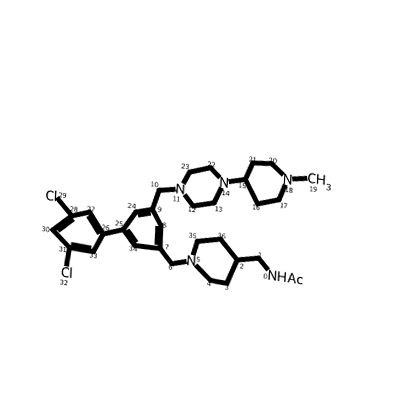 CC(=O)NCC1CCN(Cc2cc(CN3CCN(C4CCN(C)CC4)CC3)cc(-c3cc(Cl)cc(Cl)c3)c2)CC1